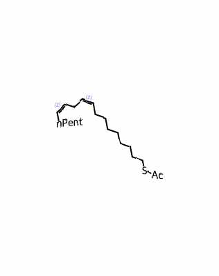 CCCCC/C=C\C/C=C\CCCCCCCCSC(C)=O